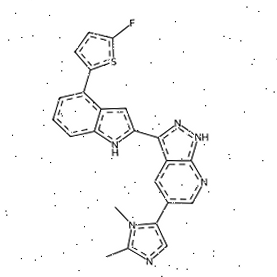 Cc1ncc(-c2cnc3[nH]nc(-c4cc5c(-c6ccc(F)s6)cccc5[nH]4)c3c2)n1C